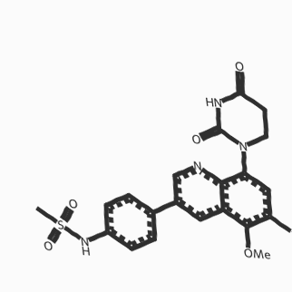 COc1c(C(C)(C)C)cc(N2CCC(=O)NC2=O)c2ncc(-c3ccc(NS(C)(=O)=O)cc3)cc12